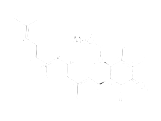 COCO[C@H]1C(C)=C(C)C(=O)[C@H](C)[C@H]1C/C=C(\C)CC/C=C(\C)CCC=C(C)C